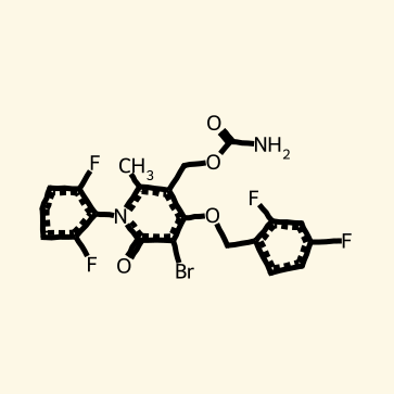 Cc1c(COC(N)=O)c(OCc2ccc(F)cc2F)c(Br)c(=O)n1-c1c(F)cccc1F